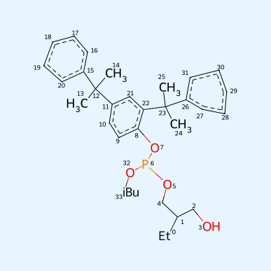 CCC(CO)COP(Oc1ccc(C(C)(C)c2ccccc2)cc1C(C)(C)c1ccccc1)OC(C)CC